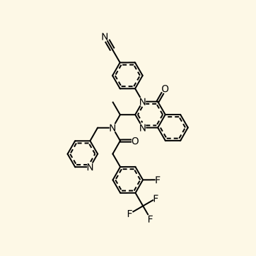 CC(c1nc2ccccc2c(=O)n1-c1ccc(C#N)cc1)N(Cc1cccnc1)C(=O)Cc1ccc(C(F)(F)F)c(F)c1